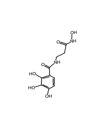 O=C(CCNC(=O)c1ccc(O)c(O)c1O)NO